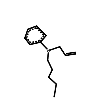 C=CCN(CCCCC)c1ccccc1